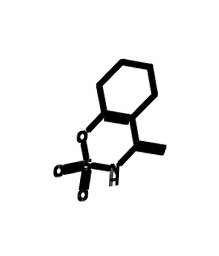 C=C1NS(=O)(=O)OC2=C1CCCC2